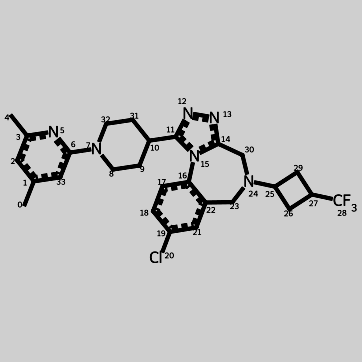 Cc1cc(C)nc(N2CCC(c3nnc4n3-c3ccc(Cl)cc3CN(C3CC(C(F)(F)F)C3)C4)CC2)c1